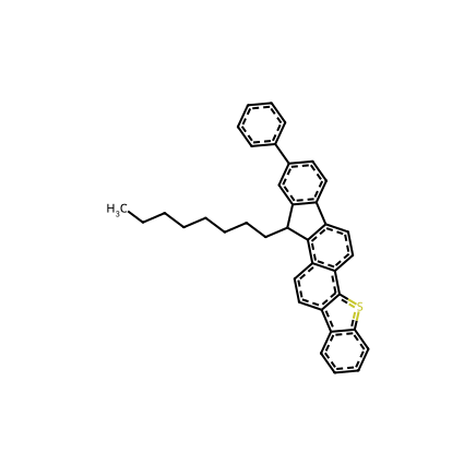 CCCCCCCCC1c2cc(-c3ccccc3)ccc2-c2ccc3c(ccc4c5ccccc5sc34)c21